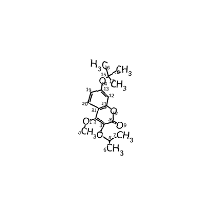 COc1c(OC(C)C)c(=O)oc2cc(OC(C)(C)C)ccc12